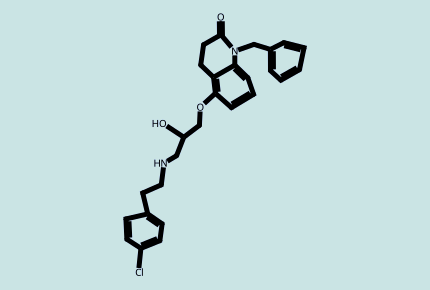 O=C1CCc2c(OCC(O)CNCCc3ccc(Cl)cc3)cccc2N1Cc1ccccc1